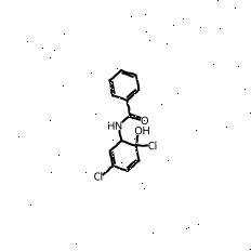 O=C(NC1C=C(Cl)C=CC1(O)Cl)c1ccccc1